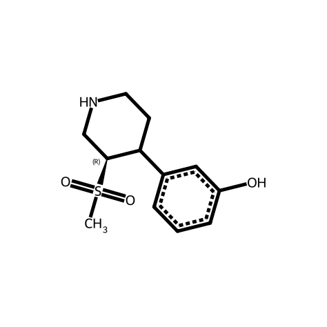 CS(=O)(=O)[C@H]1CNCCC1c1cccc(O)c1